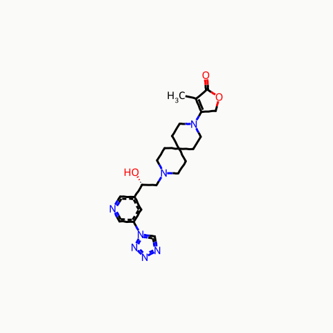 CC1=C(N2CCC3(CCN(C[C@@H](O)c4cncc(-n5cnnn5)c4)CC3)CC2)COC1=O